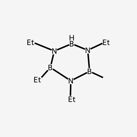 CCB1N(CC)BN(CC)B(C)N1CC